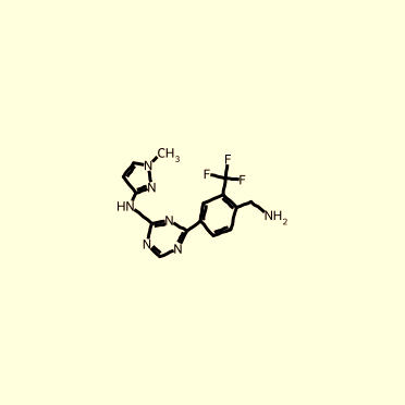 Cn1ccc(Nc2ncnc(-c3ccc(CN)c(C(F)(F)F)c3)n2)n1